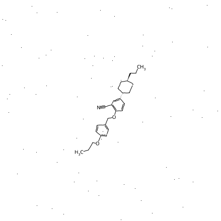 CCCOc1ccc(COc2ccc([C@H]3CC[C@H](CCC)CC3)cc2C#N)cc1